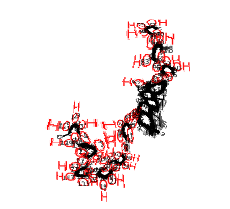 C[C@@H]1O[C@@H](O[C@H]2[C@H](O)[C@@H](O)[C@H](OC[C@H]3O[C@@H](O[C@@H]4[C@@H](O)[C@@H](O)[C@H](O[C@H]5[C@H](O)[C@@H](O)[C@H](OC[C@H]6O[C@@H](OC(=O)[C@]78CCC(C)(C)C[C@H]7C7=CC[C@@H]9[C@@]%10(C)CC[C@H](O[C@@H]%11OC[C@H](O)[C@H](O)[C@H]%11O[C@@H]%11O[C@@H](C)[C@H](O)[C@@H](O[C@@H]%12OC[C@@H](O)[C@@H](O)[C@H]%12O)[C@H]%11O)[C@@](C)(CO)[C@@H]%10CC[C@@]9(C)[C@]7(C)CC8)[C@H](O)[C@@H](O)[C@@H]6O)O[C@@H]5CO)O[C@H]4C)[C@H](O)[C@@H](O)[C@@H]3O)O[C@@H]2CO)[C@H](O)[C@H](O)[C@H]1O